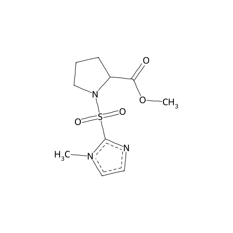 COC(=O)C1CCCN1S(=O)(=O)c1nccn1C